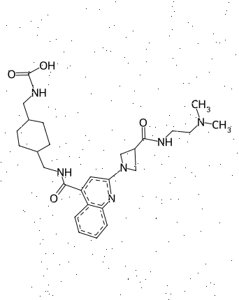 CN(C)CCNC(=O)C1CN(c2cc(C(=O)NCC3CCC(CNC(=O)O)CC3)c3ccccc3n2)C1